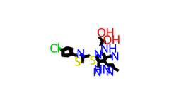 Cc1cc(-c2c(C#N)c(NC[C@H](O)CO)nc(SCc3csc(-c4ccc(Cl)cc4)n3)c2C#N)[nH]n1